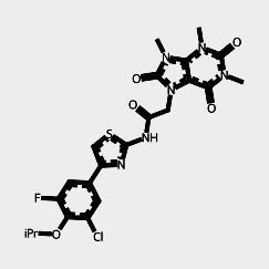 CC(C)Oc1c(F)cc(-c2csc(NC(=O)Cn3c(=O)n(C)c4c3c(=O)n(C)c(=O)n4C)n2)cc1Cl